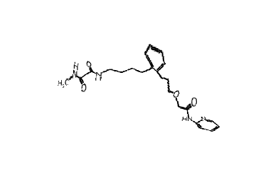 CNC(=O)C(=O)NCCCCc1ccccc1CCCOCC(=O)Nc1ccccn1